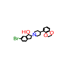 O[C@@H]1c2cc(Br)ccc2C[C@H]1N1CCC(c2cccc3c2OCCO3)CC1